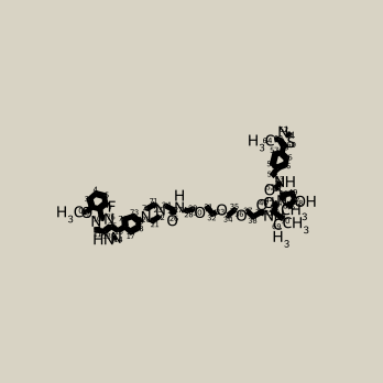 COc1cccc(F)c1-c1ncc2[nH]nc(-c3ccc(N4CCN(CC(=O)NCCOCCOCCOCCC(=O)N[C@H](C(=O)N5CC(O)C[C@H]5C(=O)NCc5ccc(-c6scnc6C)cc5)C(C)(C)C)CC4)cc3)c2n1